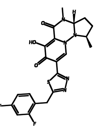 C[C@@H]1CC[C@H]2N(C)C(=O)c3c(O)c(=O)c(-c4nnc(Cc5ccc(F)cc5F)s4)cn3N12